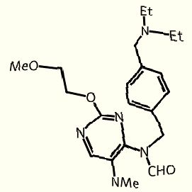 CCN(CC)Cc1ccc(CN(C=O)c2nc(OCCOC)ncc2NC)cc1